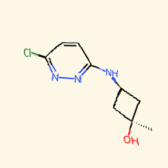 C[C@]1(O)C[C@@H](Nc2ccc(Cl)nn2)C1